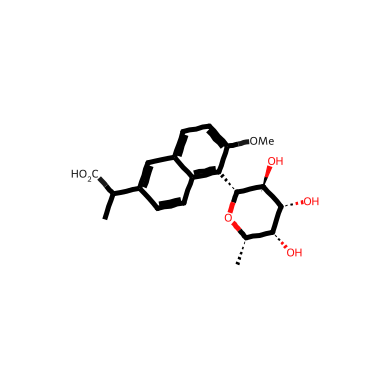 COc1ccc2cc(C(C)C(=O)O)ccc2c1[C@H]1O[C@@H](C)[C@@H](O)[C@@H](O)[C@@H]1O